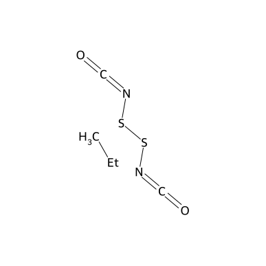 CCC.O=C=NSSN=C=O